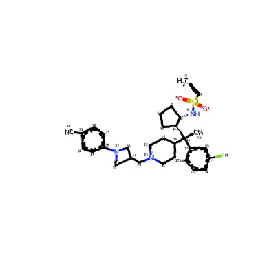 C=CS(=O)(=O)N[C@H]1CCC[C@@H]1C(C#N)(c1cccc(F)c1)C1CCN(CC2CN(c3ccc(C#N)cc3)C2)CC1